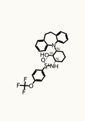 [O-][S@@+](N[C@H]1CCC[C@H](N2c3ccccc3CCc3ccccc32)[C@@H]1O)c1ccc(OC(F)(F)F)cc1